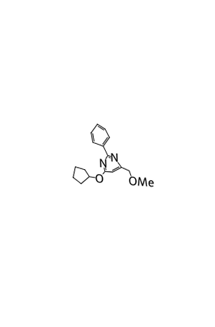 COCc1cc(OC2CCCC2)nc(-c2ccccc2)n1